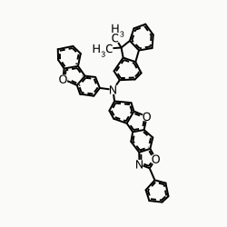 CC1(C)c2ccccc2-c2ccc(N(c3ccc4c(c3)oc3cc5oc(-c6ccccc6)nc5cc34)c3ccc4oc5ccccc5c4c3)cc21